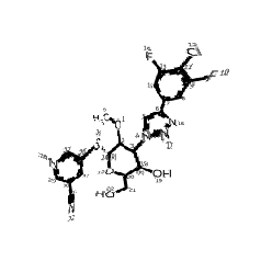 COC1C(n2cc(-c3cc(F)c(Cl)c(F)c3)nn2)[C@@H](O)C(CO)O[C@@H]1Sc1cncc(C#N)c1